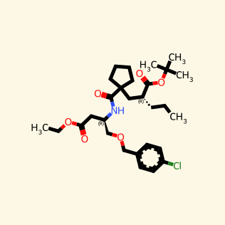 CCC[C@H](CC1(C(=O)N[C@@H](COCc2ccc(Cl)cc2)CC(=O)OCC)CCCC1)C(=O)OC(C)(C)C